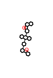 c1ccc2c(c1)ccc1oc3cc(-c4c5ccccc5c(-c5ccc(-c6cccc7c6oc6ccccc67)cc5)c5ccccc45)ccc3c12